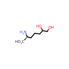 N[C@@H](CCCC(O)CO)C(=O)O